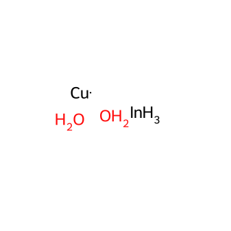 O.O.[Cu].[InH3]